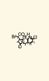 O=C(O)C(Br)C1CC(=O)N(Cc2ccc(Cl)nc2)C1=O